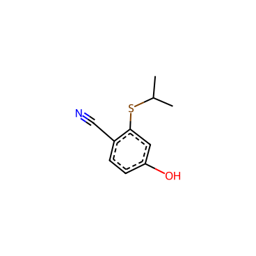 CC(C)Sc1cc(O)ccc1C#N